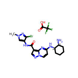 Cn1cc(NC(=O)c2cnn3ccc(N[C@@H]4CCCC[C@@H]4N)nc23)c(Br)n1.O=C(O)C(F)(F)F